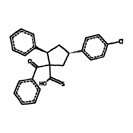 O=C(c1ccccc1)C1(C(O)=S)C[C@@H](c2ccc(Cl)cc2)C[C@@H]1c1ccccc1